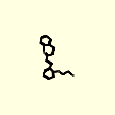 ClCCOc1ccccc1/C=C/c1ccc2ccccc2n1